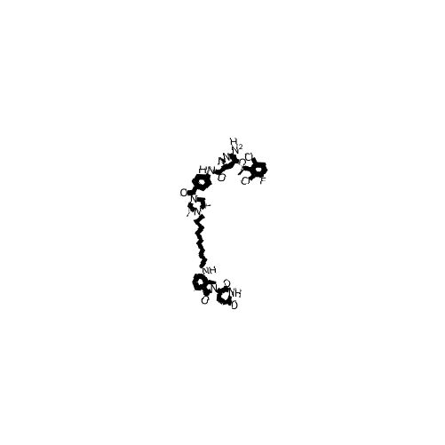 C[C@@H]1CN(C(=O)c2ccc(NC(=O)c3cc(O[C@H](C)c4c(Cl)ccc(F)c4Cl)c(N)nn3)cc2)C[C@H](C)N1CCCCCCCCCCNc1cccc2c1CN(C1CCC(=O)NC1=O)C2=O